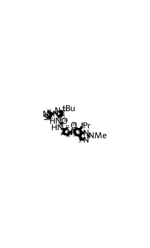 CNc1ncc2c(n1)C(C(C)C)C(=O)N(N1CCC(NC(=O)Nc3cc(C(C)(C)C)nn3-c3cnsc3)C1)C2